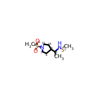 CSNC(C)C1CCN(S(C)(=O)=O)CC1